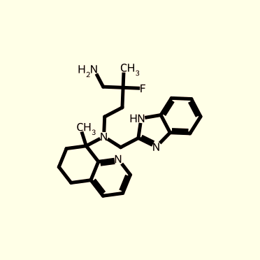 CC(F)(CN)CCN(Cc1nc2ccccc2[nH]1)C1(C)CCCc2cccnc21